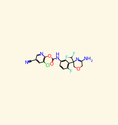 N#Cc1cnc(OC(=O)Nc2ccc(F)c(C3(C(F)F)COCC(N)=N3)c2)c(Cl)c1